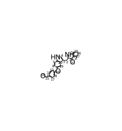 NC(Cc1c[nH]c2ccc(Oc3ccc(C=O)cc3)cc12)C(=O)C1CCCC1